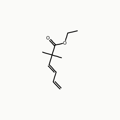 C=CC=CC(C)(C)C(=O)OCC